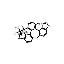 CCC(C)(C)C(C)(C)c1ccc(O)c2c1-c1c(ccc3[nH]nnc13)Cc1ccc3[nH]nnc3c1-2